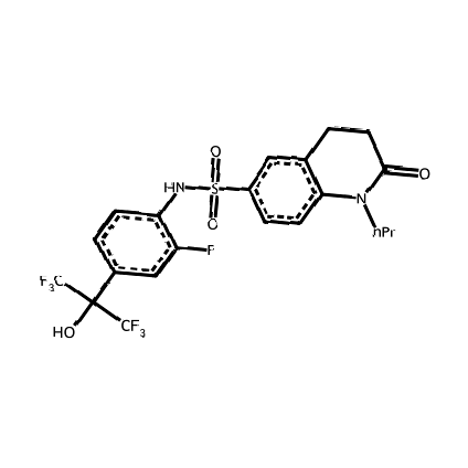 CCCN1C(=O)CCc2cc(S(=O)(=O)Nc3ccc(C(O)(C(F)(F)F)C(F)(F)F)cc3F)ccc21